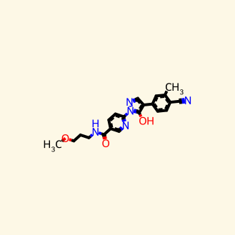 COCCCNC(=O)c1ccc(-n2ncc(-c3ccc(C#N)c(C)c3)c2O)nc1